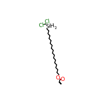 C=CC(=O)OCCCCCCCCCCCCCCCCCCCC[SiH2]C(Cl)Cl